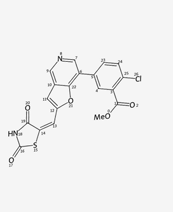 COC(=O)c1cc(-c2cncc3cc(/C=C4/SC(=O)NC4=O)oc23)ccc1Cl